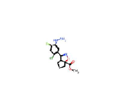 COC(=O)C12CCCC1C(c1cc(NN)c(F)cc1Cl)=NO2